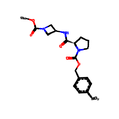 CC(C)(C)OC(=O)N1CC(NC(=O)[C@@H]2CCCN2C(=O)OCc2ccc([N+](=O)[O-])cc2)C1